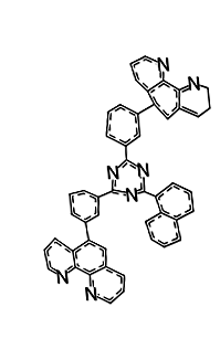 C1=c2cc(-c3cccc(-c4nc(-c5cccc(-c6cc7cccnc7c7ncccc67)c5)nc(-c5cccc6ccccc56)n4)c3)c3cccnc3c2=NCC1